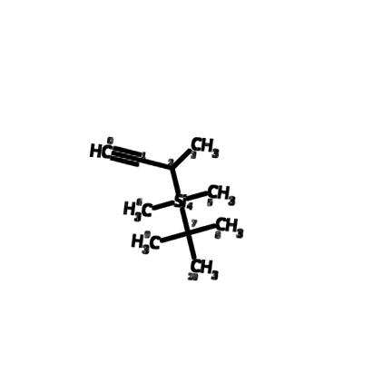 C#CC(C)[Si](C)(C)C(C)(C)C